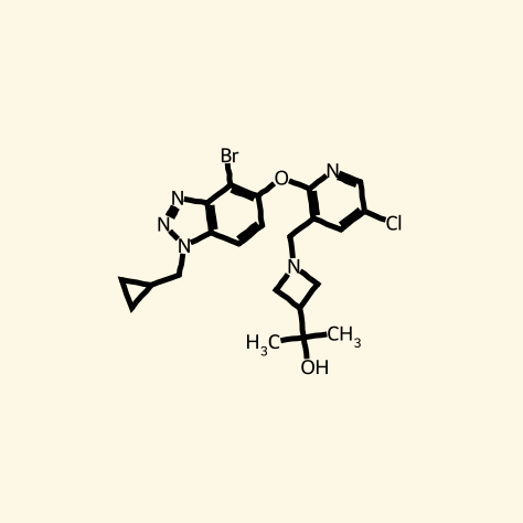 CC(C)(O)C1CN(Cc2cc(Cl)cnc2Oc2ccc3c(nnn3CC3CC3)c2Br)C1